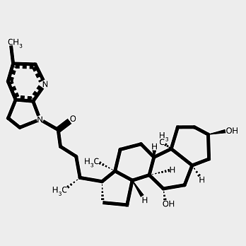 Cc1cnc2c(c1)CCN2C(=O)CC[C@@H](C)[C@H]1CC[C@H]2[C@@H]3[C@@H](O)C[C@@H]4C[C@H](O)CC[C@]4(C)[C@H]3CC[C@]12C